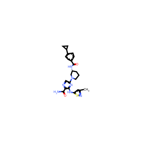 Cc1cc(Nc2nc(N3CCC[C@@H](NC(=O)c4ccc(C5CC5)cc4)C3)cnc2C(N)=O)sn1